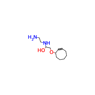 NCCNC(O)COC1C#CCCCCC1